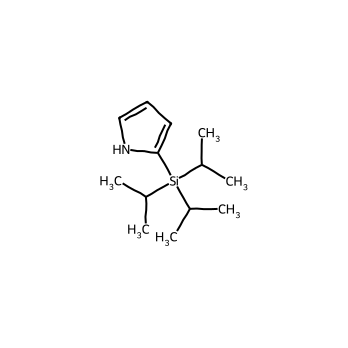 CC(C)[Si](c1ccc[nH]1)(C(C)C)C(C)C